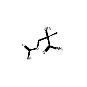 CCCC(=O)OC[C@](C)(N)C(N)=O